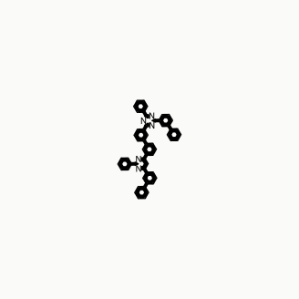 c1ccc(-c2cccc(-c3cc(-c4cccc(-c5cccc(-c6nc(-c7ccccc7)nc(-c7cccc(-c8ccccc8)c7)n6)c5)c4)nc(-c4ccccc4)n3)c2)cc1